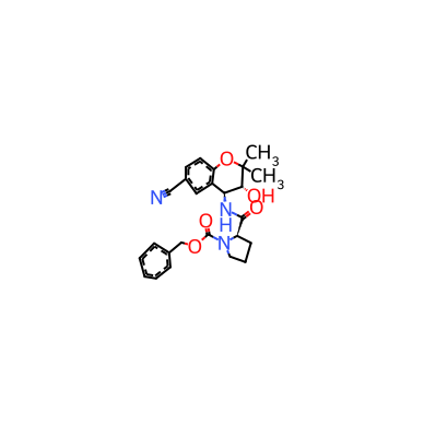 CC1(C)Oc2ccc(C#N)cc2[C@H](NC(=O)[C@H]2CCCN2C(=O)OCc2ccccc2)[C@H]1O